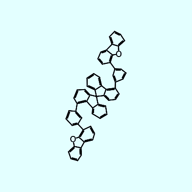 c1cc(-c2cccc3c2-c2ccccc2C32c3ccccc3-c3c(-c4cccc(-c5cccc6c5oc5ccccc56)c4)cccc32)cc(-c2cccc3c2oc2ccccc23)c1